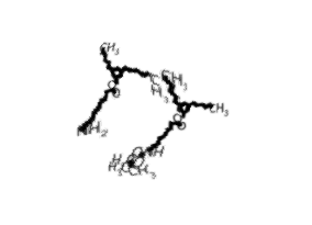 CCCCCCc1cc(CCCCCC)cc(COC(=O)CCCCCCCN)c1.CCCCCCc1cc(CCCCCC)cc(COC(=O)CCCCCCCNC(=O)OC(C)(C)C)c1